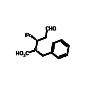 CC(C)[C@@H](CC=O)N(Cc1ccccc1)C(=O)O